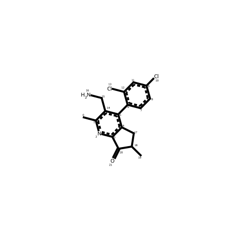 Cc1nc2c(c(-c3ccc(Cl)cc3Cl)c1CN)CC(C)C2=O